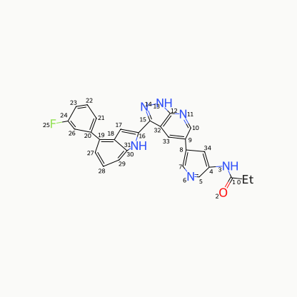 CCC(=O)Nc1cncc(-c2cnc3[nH]nc(-c4cc5c(-c6cccc(F)c6)cccc5[nH]4)c3c2)c1